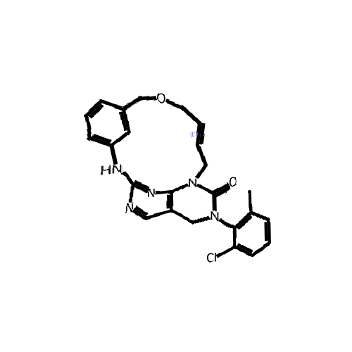 Cc1cccc(Cl)c1N1Cc2cnc3nc2N(C/C=C/COCc2cccc(c2)N3)C1=O